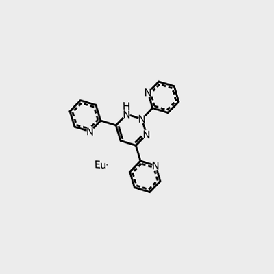 C1=C(c2ccccn2)NN(c2ccccn2)N=C1c1ccccn1.[Eu]